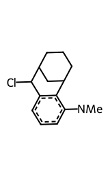 CNc1cccc2c1C1CCCC(C1)C2Cl